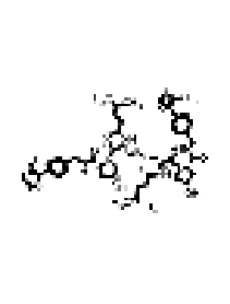 Cc1ncsc1-c1ccc(CNC(=O)[C@H]2C[C@H](O)CN2C(=O)[C@@H](CSSC[C@@H](NC(=O)CCC(C)C)C(=O)N2C[C@H](O)C[C@H]2C(=O)NCc2ccc(-c3scnc3C)cc2)NC(=O)CCC(C)C)cc1